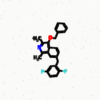 [CH2]c1nc(C)c2cc(Cc3cc(F)ccc3F)ccc2c1OCc1ccccc1